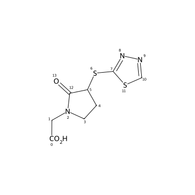 O=C(O)CN1CCC(Sc2nncs2)C1=O